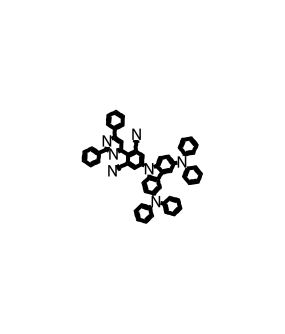 N#Cc1cc(-n2c3ccc(N(c4ccccc4)c4ccccc4)cc3c3cc(N(c4ccccc4)c4ccccc4)ccc32)cc(C#N)c1-c1cc(-c2ccccc2)nc(-c2ccccc2)n1